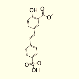 COC(=O)c1cc(C=Cc2ccc(S(=O)(=O)O)cc2)ccc1O